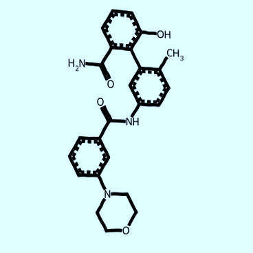 Cc1ccc(NC(=O)c2cccc(N3CCOCC3)c2)cc1-c1c(O)cccc1C(N)=O